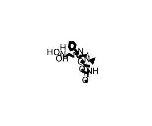 COC[C@H]1CO[C@@H](C(=O)N(C2CC2)[C@H](C)c2cn(CCCNC(O)O)c(C3CCCCC3)n2)CN1